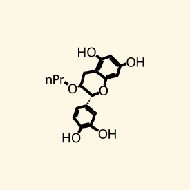 CCCO[C@@H]1Cc2c(O)cc(O)cc2O[C@@H]1c1ccc(O)c(O)c1